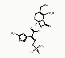 CC(=O)OCC1=C(C(=O)O)N2C(=O)[C@H](NC(=O)C(=NOP(C)(C)=O)c3csc(N)n3)[C@H]2SC1